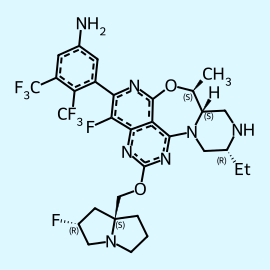 CC[C@@H]1CN2c3nc(OC[C@@]45CCCN4C[C@H](F)C5)nc4c(F)c(-c5cc(N)cc(C(F)(F)F)c5C(F)(F)F)nc(c34)O[C@@H](C)[C@@H]2CN1